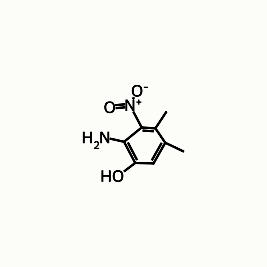 Cc1cc(O)c(N)c([N+](=O)[O-])c1C